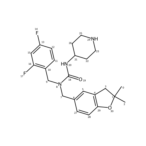 CC1(C)Cc2cc(CN(Cc3ccc(F)cc3F)C(=O)NC3CCNCC3)ccc2O1